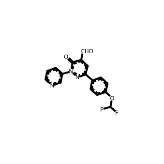 O=Cc1cc(-c2ccc(OC(F)F)cc2)nn(-c2cccnc2)c1=O